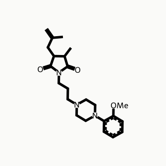 C=C(C)CC1C(=O)N(CCCN2CCN(c3ccccc3OC)CC2)C(=O)C1C